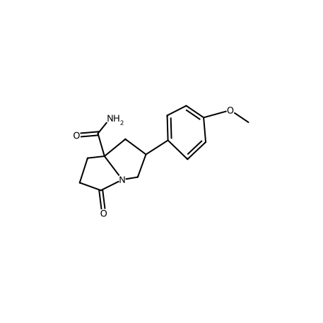 COc1ccc(C2CN3C(=O)CCC3(C(N)=O)C2)cc1